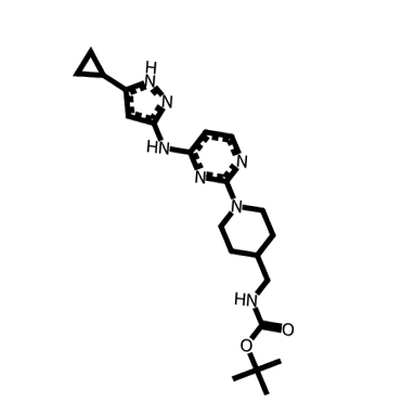 CC(C)(C)OC(=O)NCC1CCN(c2nccc(Nc3cc(C4CC4)[nH]n3)n2)CC1